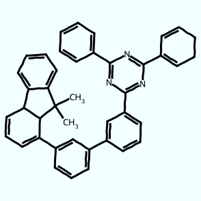 CC1(C)c2ccccc2C2C=CC=C(c3cccc(-c4cccc(-c5nc(C6=CCCC=C6)nc(-c6ccccc6)n5)c4)c3)C21